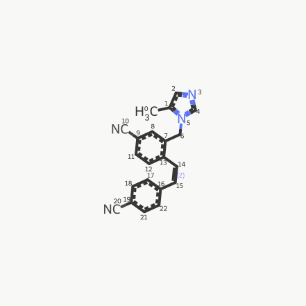 Cc1cncn1Cc1cc(C#N)ccc1/C=C\c1ccc(C#N)cc1